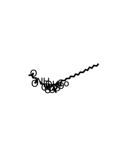 CCCCCCCCCCCCCCCC[CH2][Co](=[O])[CH2]C(COP(=O)(O)OCCNC(=O)CCC(C)=O)OC(C)=O